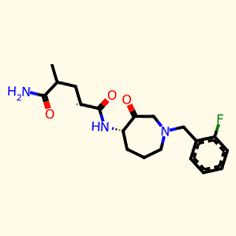 CC(C[CH]C(=O)N[C@H]1CCCN(Cc2ccccc2F)CC1=O)C(N)=O